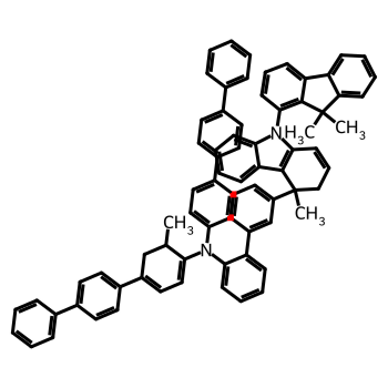 CC1CC(c2ccc(-c3ccccc3)cc2)=CC=C1N(c1ccc(-c2ccc(-c3ccccc3)cc2)cc1)c1ccccc1-c1cccc(C2(C)CC=Cc3c2c2ccccc2n3-c2cccc3c2C(C)(C)c2ccccc2-3)c1